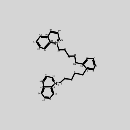 c1ccc(CCCCC[n+]2cccc3ccccc32)c(CCCCC[n+]2cccc3ccccc32)c1